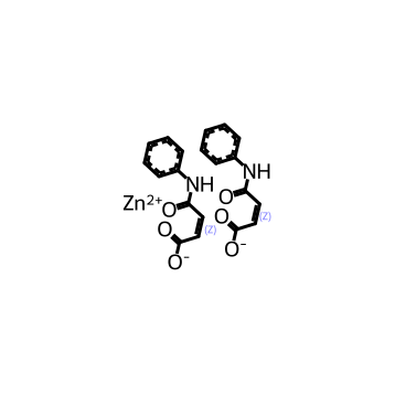 O=C([O-])/C=C\C(=O)Nc1ccccc1.O=C([O-])/C=C\C(=O)Nc1ccccc1.[Zn+2]